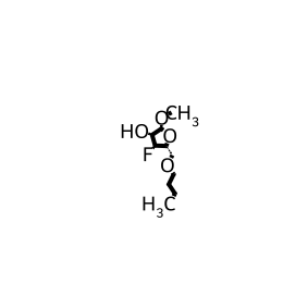 CCCCOC[C@H]1O[C@H](OC)[C@H](O)[C@@H]1F